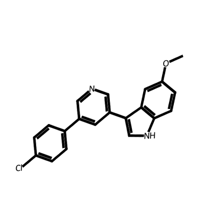 COc1ccc2[nH]cc(-c3cncc(-c4ccc(Cl)cc4)c3)c2c1